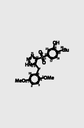 COc1ccc(OC)c(Cc2[nH]nnc2S(=O)(=O)c2ccc(C(C)(C)C)c(O)c2)c1